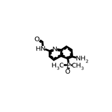 CP(C)(=O)c1c(N)ccc2nc(NC=O)ccc12